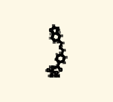 CCCCCCS(=O)(=O)NC(=O)c1ccc(CSCc2ccc3ocnc3c2)cc1